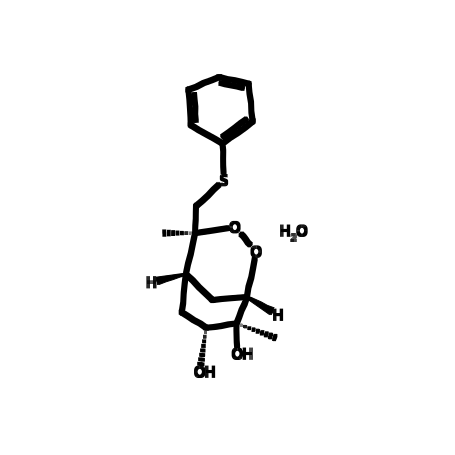 C[C@]1(O)[C@H](O)C[C@H]2C[C@@H]1OO[C@]2(C)CSc1ccccc1.O